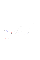 CC(C)(CN)SCc1cnccc1SC1(C(=O)O)CS[C@@H]2[C@H](NC(=O)C(=NO)c3csc(N)n3)C(=O)N2C1